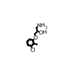 Cc1c(Cl)cccc1OCC(O)CN